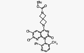 Cc1ccnc(C(C)C)c1-n1c(=O)nc(N2CC3(CN(C(=O)OC(C)(C)C)C3)C2)c2cc(Cl)c(Cl)nc21